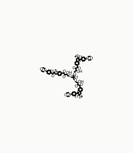 CCC(COCC(O)C(=O)C(=O)c1ccc(CC(CC)(C(=O)c2ccc(N3CCOCC3)cc2)N(C)C)cc1)(COCC(O)C(=O)C(=O)c1ccc(CC(CC)(C(=O)c2ccc(N3CCOCC3)cc2)N(C)C)cc1)COCC(O)C(=O)C(=O)c1ccc(CC(CC)(C(=O)c2ccc(N3CCOCC3)cc2)N(C)C)cc1